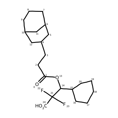 O=C(CCC1CC2CCCC(C2)C1)OC(C1CCCCC1)C(F)(F)C(=O)O